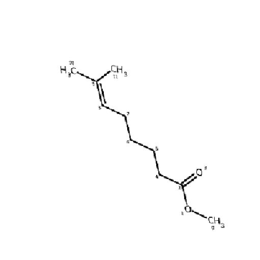 COC(=O)CCCCC=C(C)C